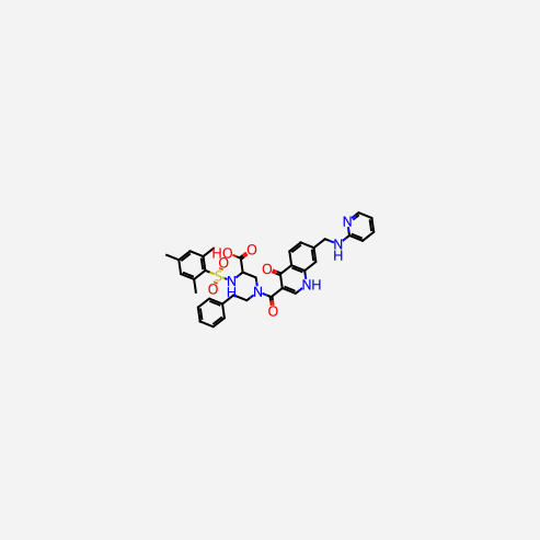 Cc1cc(C)c(S(=O)(=O)NC(CN(CCc2ccccc2)C(=O)c2c[nH]c3cc(CNc4ccccn4)ccc3c2=O)C(=O)O)c(C)c1